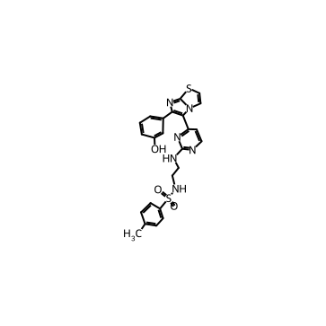 Cc1ccc(S(=O)(=O)NCCNc2nccc(-c3c(-c4cccc(O)c4)nc4sccn34)n2)cc1